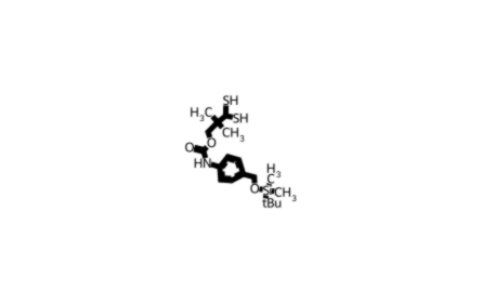 CC(C)(COC(=O)Nc1ccc(CO[Si](C)(C)C(C)(C)C)cc1)C(S)S